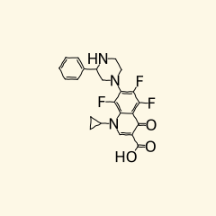 O=C(O)c1cn(C2CC2)c2c(F)c(N3CCNC(c4ccccc4)C3)c(F)c(F)c2c1=O